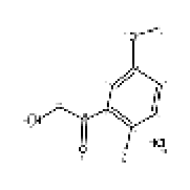 COc1ccc(Cl)c(C(=O)CN)c1.Cl